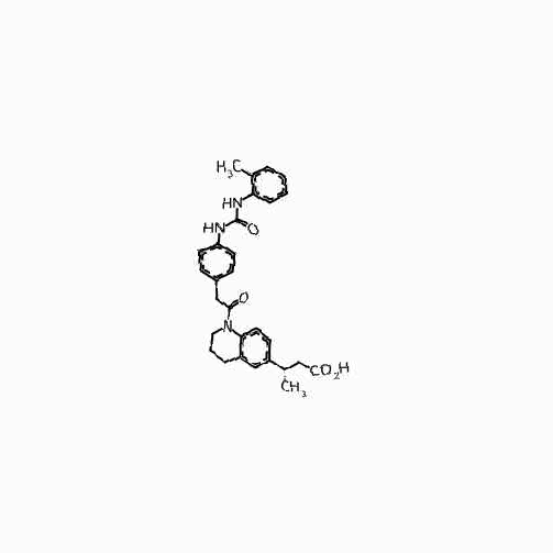 Cc1ccccc1NC(=O)Nc1ccc(CC(=O)N2CCCc3cc([C@@H](C)CC(=O)O)ccc32)cc1